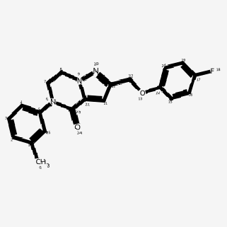 Cc1cccc(N2CCn3nc(COc4ccc(F)cc4)cc3C2=O)c1